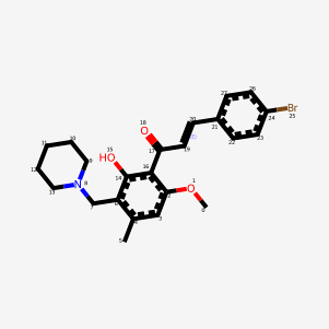 COc1cc(C)c(CN2CCCCC2)c(O)c1C(=O)/C=C/c1ccc(Br)cc1